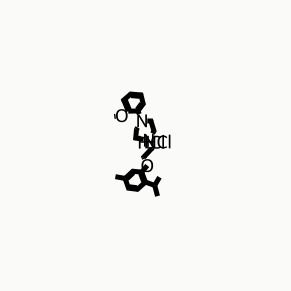 COc1ccccc1N1CCN(CCOc2cc(C)ccc2C(C)C)CC1.Cl.Cl